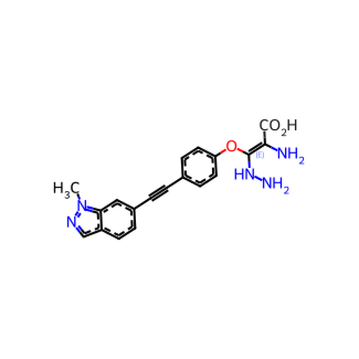 Cn1ncc2ccc(C#Cc3ccc(O/C(NN)=C(/N)C(=O)O)cc3)cc21